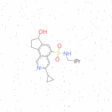 CC(C)CNS(=O)(=O)c1cc2c(c3cnc(C4CC4)cc13)CCC2O